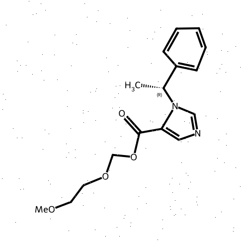 COCCOCOC(=O)c1cncn1[C@H](C)c1ccccc1